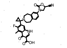 Cc1c(F)c(C2(N3CCc4ccc(N5CC(C#N)OC5=O)cc4CC3)CC2)cc2[nH]cc(C(=O)O)c(=O)c12